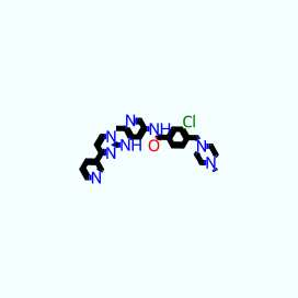 Cc1ncc(NC(=O)c2ccc(CN3CCN(C)CC3)c(Cl)c2)cc1Nc1nccc(-c2cccnc2)n1